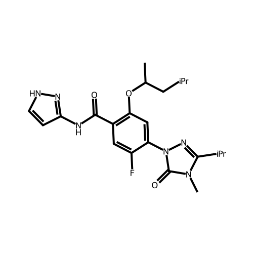 CC(C)CC(C)Oc1cc(-n2nc(C(C)C)n(C)c2=O)c(F)cc1C(=O)Nc1cc[nH]n1